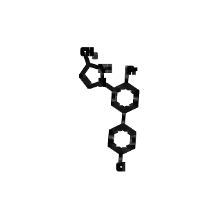 CC1C=CN(c2cc(-c3ccc(Cl)cc3)ccc2C(C)C)N1